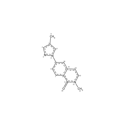 Cc1cnn(-c2ccc3c(=O)n(C)ccc3c2)c1